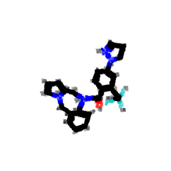 O=C(c1ccc(-n2cccn2)cc1C(F)(F)F)N1Cc2cccn2Cc2ccccc21